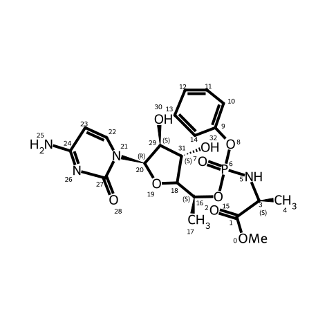 COC(=O)[C@H](C)NP(=O)(Oc1ccccc1)O[C@@H](C)C1O[C@@H](n2ccc(N)nc2=O)[C@@H](O)[C@@H]1O